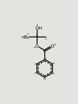 CCCCC(C)(O)OC(=O)c1ccccc1